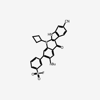 CCCCc1cc2c(=O)c3c4ccc(C#N)cc4[nH]c3n(C3CCC3)c2cc1-c1cccc(S(=O)(=O)F)c1